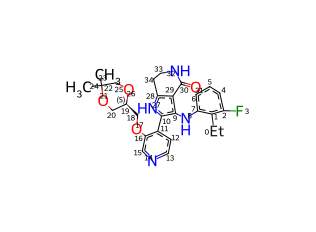 CCc1c(F)cccc1Nc1c(-c2ccncc2OC[C@H]2COC(C)(C)CO2)[nH]c2c1C(=O)NCC2